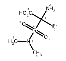 CC(C)C(N)(C(=O)O)S(=O)(=O)N(C)C